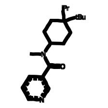 CC(C)C1(C(C)(C)C)CCC(N(C)C(=O)c2cccnc2)CC1